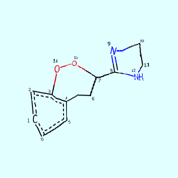 c1ccc2c(c1)CC(C1=NCCN1)OO2